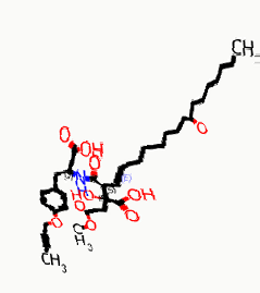 CC#CCOc1ccc(C[C@H](NC(=O)[C@@H](/C=C/CCCCCCC(=O)CCCCCCC)[C@@](O)(CC(=O)OC)C(=O)O)C(=O)O)cc1